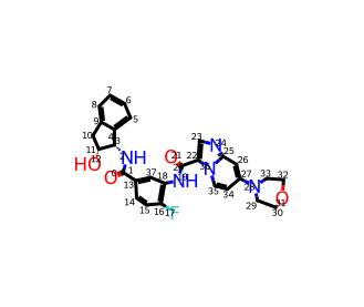 O=C(N[C@H]1c2ccccc2C[C@H]1O)c1ccc(F)c(NC(=O)c2cnc3cc(N4CCOCC4)ccn23)c1